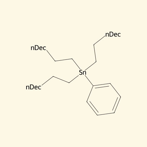 CCCCCCCCCCC[CH2][Sn]([CH2]CCCCCCCCCCC)([CH2]CCCCCCCCCCC)[c]1ccccc1